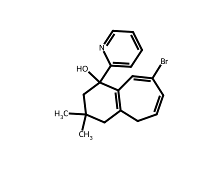 CC1(C)CC2=C(C=C(Br)C=CC2)C(O)(c2ccccn2)C1